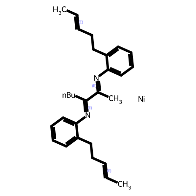 C/C=C/CCc1ccccc1/N=C(C)/C(CCCC)=N/c1ccccc1CC/C=C/C.[Ni]